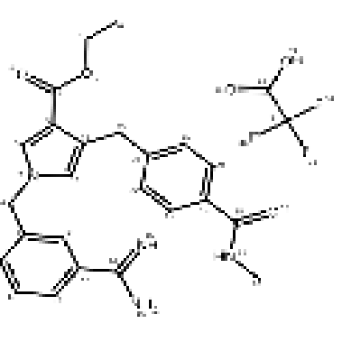 CCOC(=O)c1cn(Cc2cccc(C(=N)N)c2)cc1Cc1ccc(C(=O)NC)cc1.O=C(O)C(F)(F)F